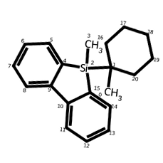 CC1([Si]2(C)c3ccccc3-c3ccccc32)CCCCC1